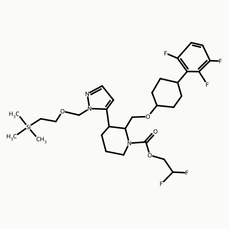 C[Si](C)(C)CCOCn1nccc1C1CCCN(C(=O)OCC(F)F)C1COC1CCC(c2c(F)ccc(F)c2F)CC1